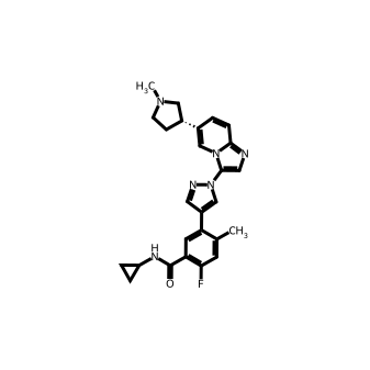 Cc1cc(F)c(C(=O)NC2CC2)cc1-c1cnn(-c2cnc3ccc([C@@H]4CCN(C)C4)cn23)c1